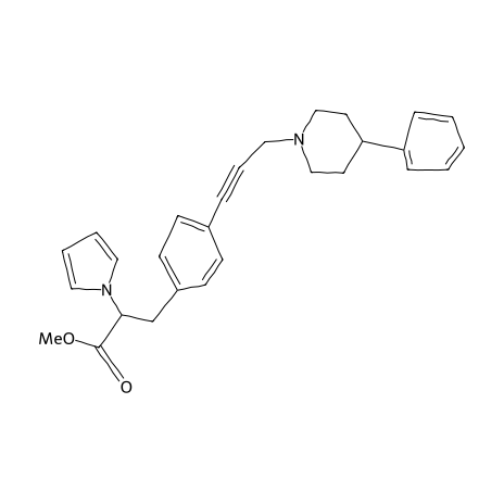 COC(=O)C(Cc1ccc(C#CCN2CCC(c3ccccc3)CC2)cc1)n1cccc1